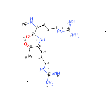 CC(C)N[C@@H](CCCNC(=N)N)C(=O)N[C@@H](CCCNC(=N)N)C(=O)C(C)C